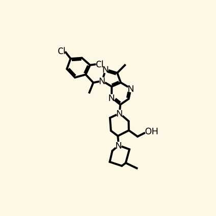 Cc1nn(C(C)c2ccc(Cl)cc2Cl)c2nc(N3CCC(N4CCCC(C)C4)C(CO)C3)cnc12